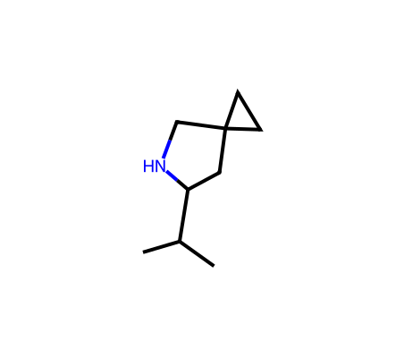 CC(C)C1CC2(CC2)CN1